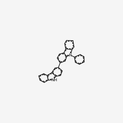 c1ccc(-n2c3ccccc3c3ccc(-c4ccc5[nH]c6ccccc6c5c4)cc32)cc1